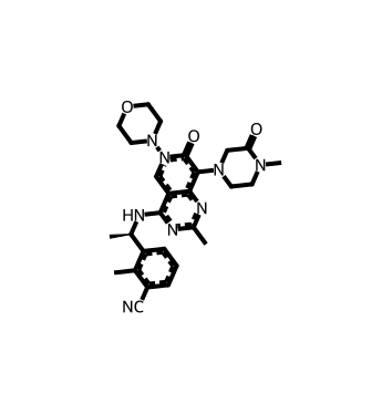 Cc1nc(N[C@H](C)c2cccc(C#N)c2C)c2cn(N3CCOCC3)c(=O)c(N3CCN(C)C(=O)C3)c2n1